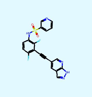 O=S(=O)(Nc1ccc(F)c(C#Cc2cnc3[nH]ncc3c2)c1F)c1cccnc1